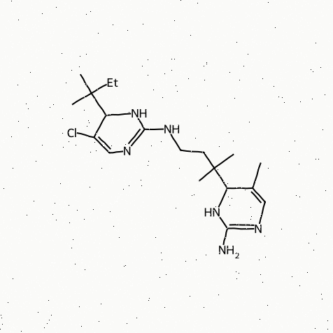 CCC(C)(C)C1NC(NCCC(C)(C)C2NC(N)=NC=C2C)=NC=C1Cl